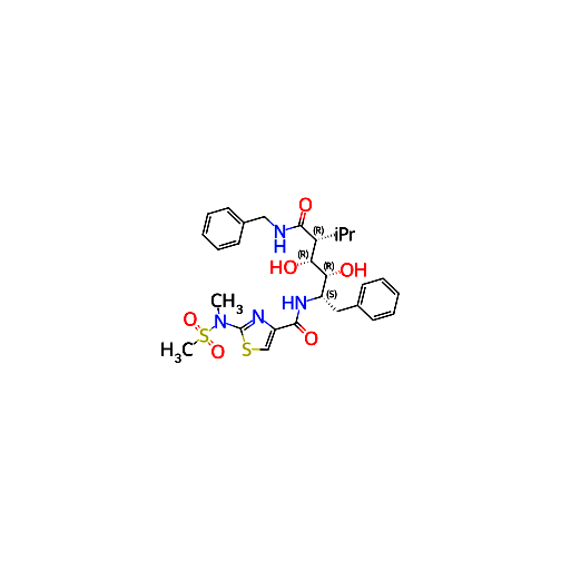 CC(C)[C@@H](C(=O)NCc1ccccc1)[C@@H](O)[C@H](O)[C@H](Cc1ccccc1)NC(=O)c1csc(N(C)S(C)(=O)=O)n1